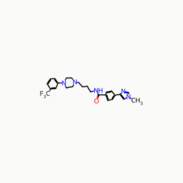 Cn1cnc(-c2ccc(C(=O)NCCCCN3CCN(c4cccc(C(F)(F)F)c4)CC3)cc2)c1